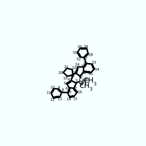 [CH3][Hf]1([CH3])[CH]2C(=Cc3c(-c4ccccc4)cccc32)C2(CCCC2)C2=Cc3c(-c4ccccc4)cccc3[CH]21